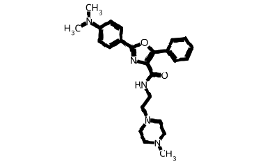 CN1CCN(CCNC(=O)c2nc(-c3ccc(N(C)C)cc3)oc2-c2ccccc2)CC1